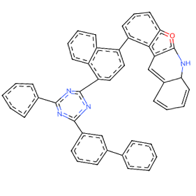 C1=CC2=Cc3c(oc4cccc(-c5ccc(-c6nc(-c7ccccc7)nc(-c7cccc(-c8ccccc8)c7)n6)c6ccccc56)c34)NC2C=C1